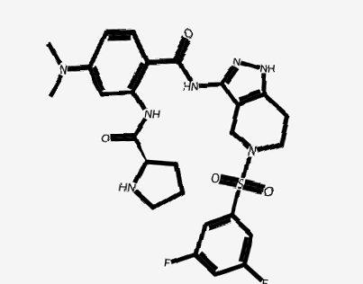 CN(C)c1ccc(C(=O)Nc2n[nH]c3c2CN(S(=O)(=O)c2cc(F)cc(F)c2)CC3)c(NC(=O)[C@H]2CCCN2)c1